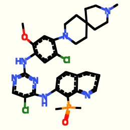 COc1cc(N2CCC3(CCN(C)CC3)CC2)c(Cl)cc1Nc1ncc(Cl)c(Nc2ccc3cccnc3c2P(C)(C)=O)n1